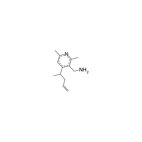 C=CCC(C)c1cc(C)nc(C)c1CN